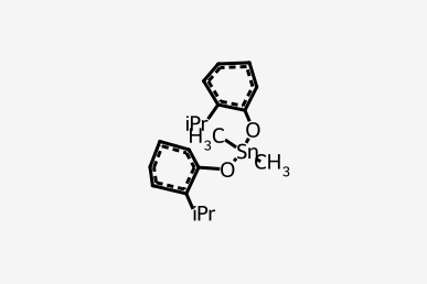 CC(C)c1ccccc1[O][Sn]([CH3])([CH3])[O]c1ccccc1C(C)C